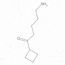 NCCCCC(=O)C1CCC1